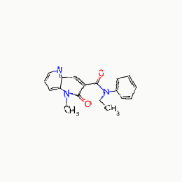 CCN(C(=O)c1cc2ncccc2n(C)c1=O)c1ccccc1